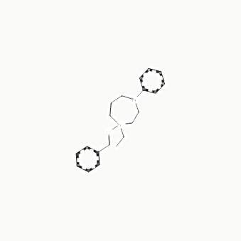 CC[N+]1(OCc2ccccc2)CCCN(c2ccccc2)CC1